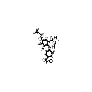 Cc1cc(S(C)(=O)=O)ccc1Nc1c(C(N)=O)cc(OCC2CC2)c(F)c1F